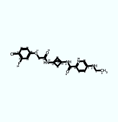 CCNc1ccc(C(=O)NC23CC(NC(=O)COc4ccc(Cl)c(F)c4)(C2)C3)nc1